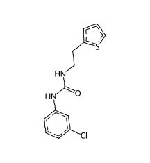 O=C(NCCc1cccs1)Nc1cccc(Cl)c1